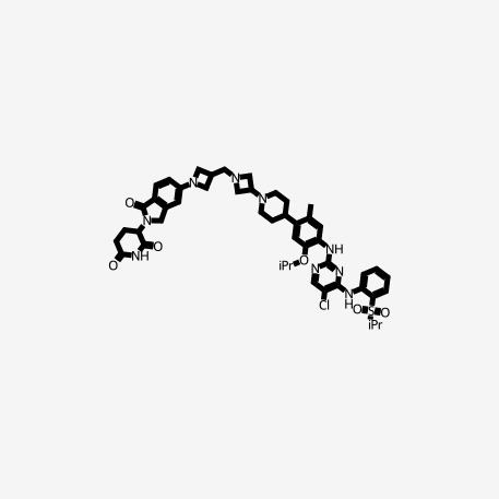 Cc1cc(Nc2ncc(Cl)c(Nc3ccccc3S(=O)(=O)C(C)C)n2)c(OC(C)C)cc1C1CCN(C2CN(CC3CN(c4ccc5c(c4)CN(C4CCC(=O)NC4=O)C5=O)C3)C2)CC1